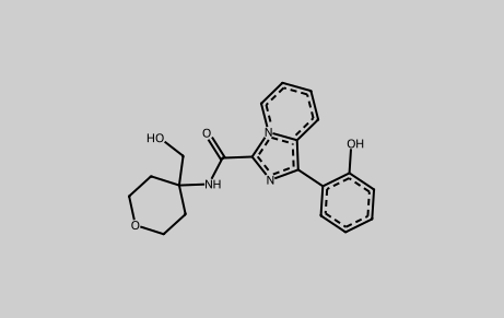 O=C(NC1(CO)CCOCC1)c1nc(-c2ccccc2O)c2ccccn12